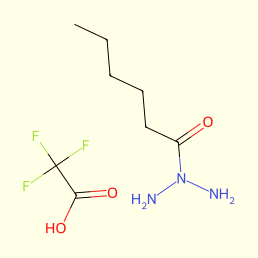 CCCCCC(=O)N(N)N.O=C(O)C(F)(F)F